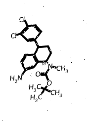 CN(C(=O)OC(C)(C)C)[C@H]1CCC(c2ccc(Cl)c(Cl)c2)c2ccc(N)cc21